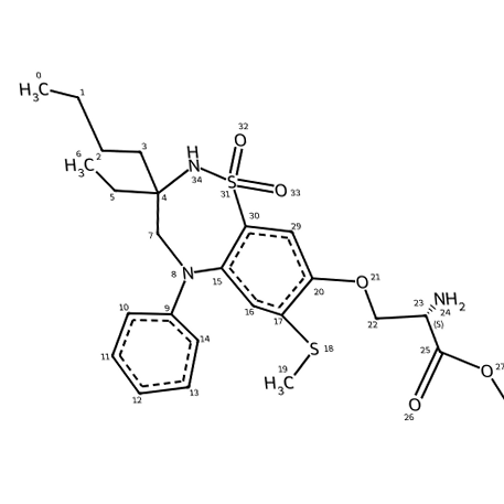 CCCCC1(CC)CN(c2ccccc2)c2cc(SC)c(OC[C@H](N)C(=O)OC)cc2S(=O)(=O)N1